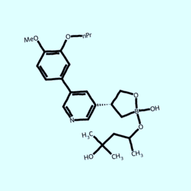 CCCOc1cc(-c2cncc([C@@H]3CO[B-](O)(OC(C)CC(C)(C)O)C3)c2)ccc1OC